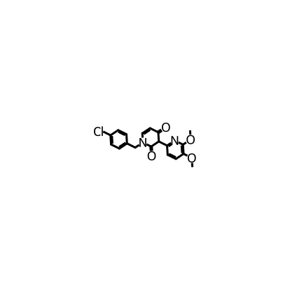 COc1ccc(C2C(=O)C=CN(Cc3ccc(Cl)cc3)C2=O)nc1OC